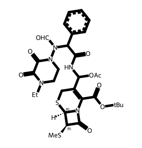 CCN1CCN(N(C=O)C(C(=O)NC(OC(C)=O)C2=C(C(=O)OC(C)(C)C)N3C(=O)[C@@H](SC)[C@H]3SC2)c2ccccc2)C(=O)C1=O